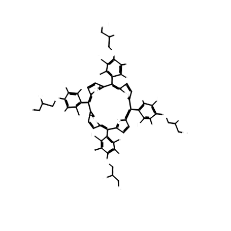 OCC(O)COc1c(F)c(F)c(C2=C3C=CC(=N3)C(c3c(F)c(F)c(OCC(O)CO)c(F)c3F)=C3C=CC(=N3)C(c3c(F)c(F)c(OCC(O)CO)c(F)c3F)=C3C=CC(=N3)C(c3c(F)c(F)c(OCC(O)CO)c(F)c3F)=C3C=CC2=N3)c(F)c1F